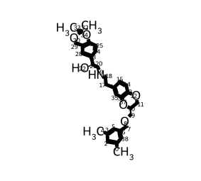 Cc1cc(C)cc(COC[C@@H]2COc3ccc(CCNC[C@H](O)c4ccc5c(c4)COC(C)(C)O5)cc3O2)c1